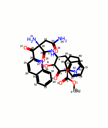 CC(C)(C)OC(=O)[C@@]1(C(=O)C(O)[C@H](Cc2ccccc2)NC(=O)[C@@](N)(CC(N)=O)C(=O)c2ccc3ccccc3n2)CCCCN1